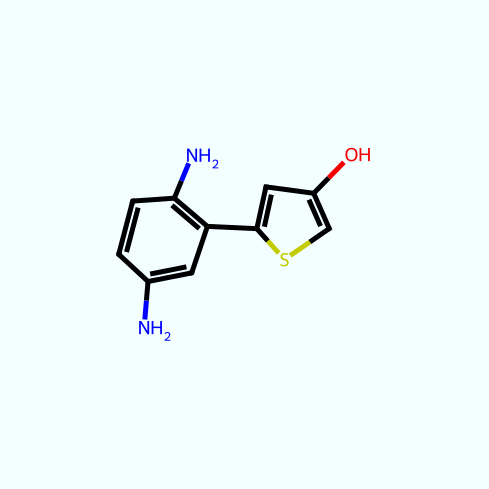 Nc1ccc(N)c(-c2cc(O)cs2)c1